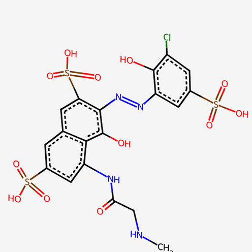 CNCC(=O)Nc1cc(S(=O)(=O)O)cc2cc(S(=O)(=O)O)c(N=Nc3cc(S(=O)(=O)O)cc(Cl)c3O)c(O)c12